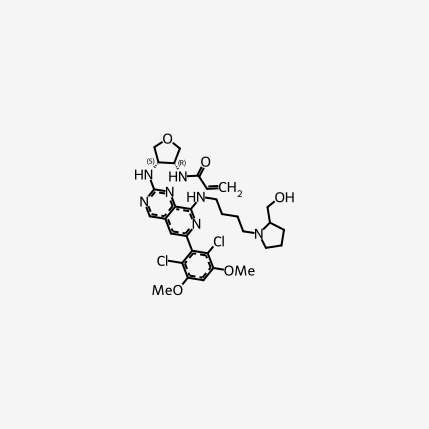 C=CC(=O)N[C@H]1COC[C@H]1Nc1ncc2cc(-c3c(Cl)c(OC)cc(OC)c3Cl)nc(NCCCCN3CCCC3CO)c2n1